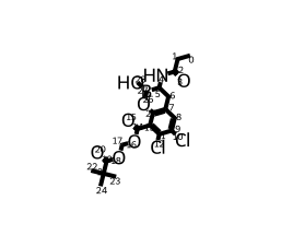 CCC(=O)NC1Cc2cc(Cl)c(Cl)c(C(=O)OCOC(=O)C(C)(C)C)c2OB1O